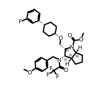 COC(=O)N1[C@@H]2CCC[C@@H]2[C@H](N(Cc2ccc(OC)cc2)C(=O)C(F)(F)F)[C@@H]1CO[C@H]1CC[C@@H](c2cccc(F)c2)CC1